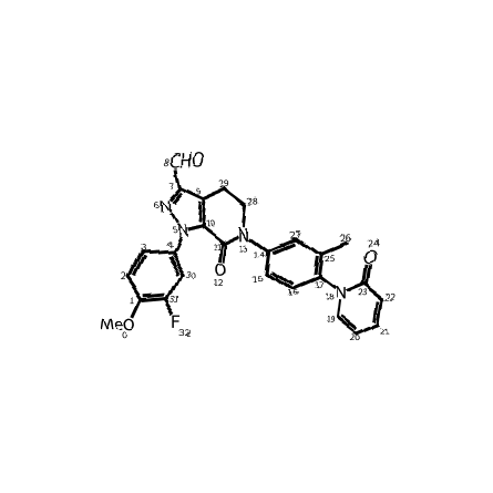 COc1ccc(-n2nc(C=O)c3c2C(=O)N(c2ccc(-n4ccccc4=O)c(C)c2)CC3)cc1F